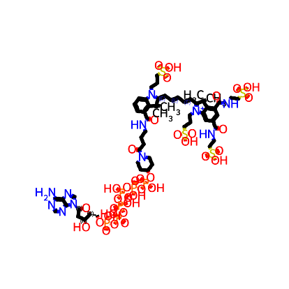 CC1(C)C(/C=C/C=C/C=C2/N(CCCS(=O)(=O)O)c3cccc(C(=O)NCCCC(=O)N4CCC(OP(=O)(O)OP(=O)(O)OP(=O)(O)OP(=O)(O)OP(=O)(O)OP(=O)(O)OC[C@H]5O[C@@H](n6cnc7c(N)ncnc76)C[C@H]5O)CC4)c3C2(C)C)=[N+](CCCS(=O)(=O)O)c2cc(C(=O)NCCS(=O)(=O)O)cc(C(=O)NCCS(=O)(=O)O)c21